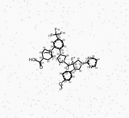 COC[C@H]1CN(C(=O)[C@]2(F)CN(c3ncccn3)C[C@H]2c2ccc(OC)cc2)C[C@@H]1c1ccc(C(F)(F)F)cc1N1CCC(C(=O)O)CC1